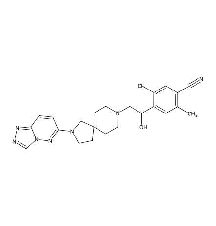 Cc1cc(C(O)CN2CCC3(CC2)CCN(c2ccc4nncn4n2)C3)c(Cl)cc1C#N